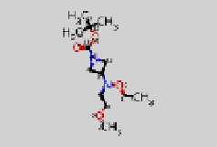 CCON(CCOC)C1CN(C(=O)OC(C)(C)C)C1